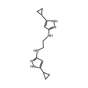 c1c(NCCNc2cc(C3CC3)[nH]n2)n[nH]c1C1CC1